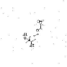 CCO[Si](C)(C)C(CC)CCCOCC1CO1